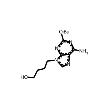 CC(C)COc1nc(N)c2ncn(CCCCO)c2n1